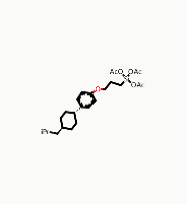 CC(=O)O[Si](CCCOc1ccc([C@H]2CC[C@H](CC(C)C)CC2)cc1)(OC(C)=O)OC(C)=O